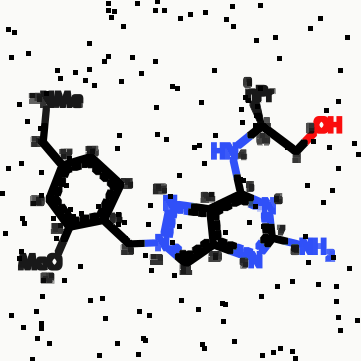 CCC[C@@H](CO)Nc1nc(N)nc2cn(Cc3ccc(CNC)cc3OC)nc12